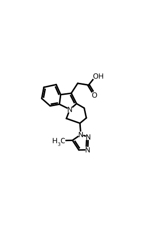 Cc1cnnn1C1CCc2c(CC(=O)O)c3ccccc3n2C1